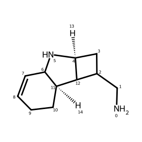 NCC1C[C@@H]2NC3C=CCC[C@@H]3C12